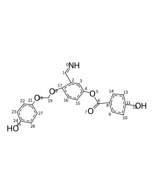 N=Cc1cc(OC(=O)c2ccc(O)cc2)ccc1OCOc1ccc(O)cc1